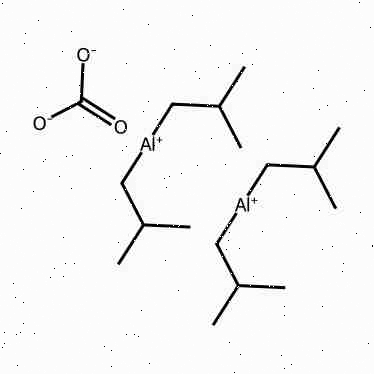 CC(C)[CH2][Al+][CH2]C(C)C.CC(C)[CH2][Al+][CH2]C(C)C.O=C([O-])[O-]